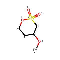 CCOC1CCOS(=O)(=O)C1